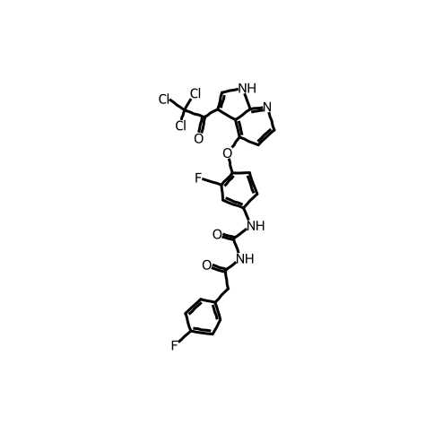 O=C(Cc1ccc(F)cc1)NC(=O)Nc1ccc(Oc2ccnc3[nH]cc(C(=O)C(Cl)(Cl)Cl)c23)c(F)c1